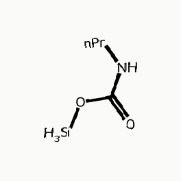 CCCNC(=O)O[SiH3]